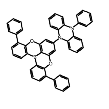 c1ccc(-c2cccc3c2Oc2cc(N4c5ccccc5N(c5ccccc5)c5ccccc54)cc4c2B3c2cccc(-c3ccccc3)c2O4)cc1